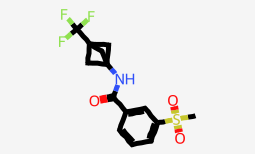 CS(=O)(=O)c1cccc(C(=O)NC23CC(C(F)(F)F)(C2)C3)c1